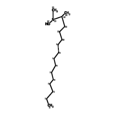 CCCCCCCCCCCCCC(C)N(C)O